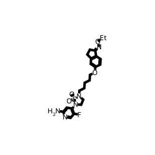 CCO/N=C1\CCc2cc(OCCCCCN3CCN(c4cc(N)ncc4F)S3(=O)=O)ccc21